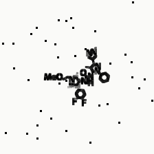 COCCN1[C@H](C)[C@@H](NC(=O)Nc2c(C)c(-c3cnn(C)c3)nn2-c2ccccc2)[C@H](c2ccc(F)c(F)c2)[C@@H]1C